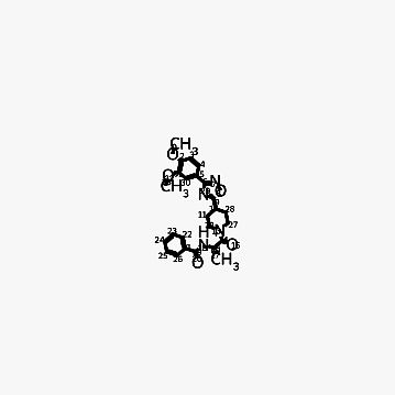 COc1ccc(-c2noc(C3CCN(C(=O)[C@H](C)NC(=O)c4ccccc4)CC3)n2)cc1OC